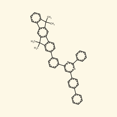 CC1(C)c2ccccc2-c2cc3c(cc21)-c1ccc(-c2cccc(-c4cc(-c5ccc(-c6ccccc6)cc5)nc(-c5ccccc5)n4)c2)cc1C3(C)C